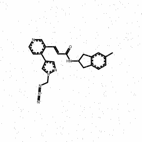 Cc1ccc2c(c1)CC(NC(=O)/C=C/c1cnccc1-c1cnn(CN=[N+]=[N-])c1)C2